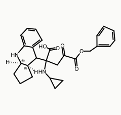 O=C(CC(NC1CC1)(C(=O)O)C1c2ccccc2N[C@@H]2CCC[C@H]12)C(=O)OCc1ccccc1